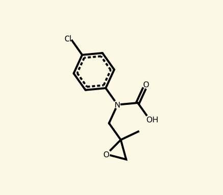 CC1(CN(C(=O)O)c2ccc(Cl)cc2)CO1